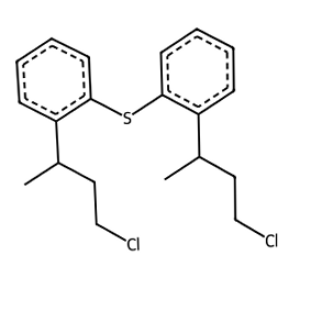 CC(CCCl)c1ccccc1Sc1ccccc1C(C)CCCl